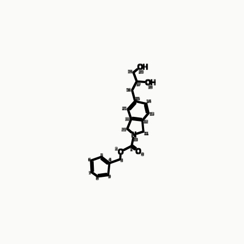 O=C(OCc1ccccc1)N1Cc2ccc(CC(O)CO)cc2C1